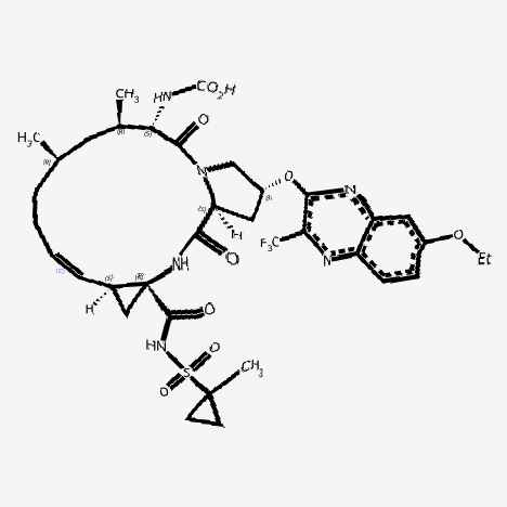 CCOc1ccc2nc(C(F)(F)F)c(O[C@@H]3C[C@H]4C(=O)N[C@]5(C(=O)NS(=O)(=O)C6(C)CC6)C[C@H]5/C=C\CC[C@@H](C)C[C@@H](C)[C@H](NC(=O)O)C(=O)N4C3)nc2c1